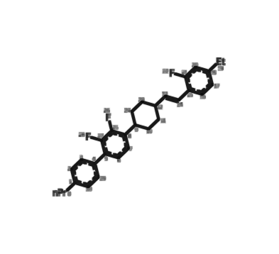 CCCc1ccc(-c2ccc(C3CCC(/C=C/c4ccc(CC)cc4F)CC3)c(F)c2F)cc1